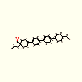 CCCC1(C=O)CCC(c2ccc(-c3ccc(C4CCC(CC)CC4)cc3)cc2)CC1